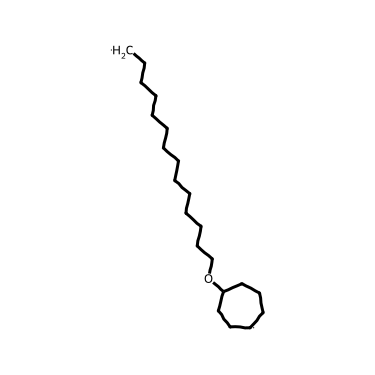 [CH2]CCCCCCCCCCCCCOC1CC[CH]CCC1